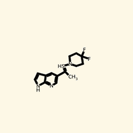 CC(=[SH]N1CCC(F)(F)CC1)c1cnc2[nH]ccc2c1